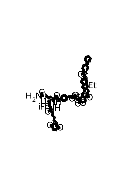 CCc1c2c(cc3ccc(OC(=O)N4CCC(N5CCCCC5)CC4)cc13)-c1cc3c(c(=O)n1C2)COC(=O)[C@]3(CC)OC(=O)OCc1ccc(CC(=O)[C@H](CCCNC(N)=O)NC(=O)C(NC(=O)CCCCCN2C(=O)C=CC2=O)C(C)C)cc1